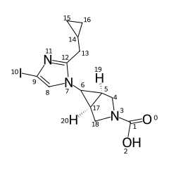 O=C(O)N1C[C@@H]2C(n3cc(I)nc3CC3CC3)[C@@H]2C1